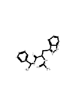 CC(NC(=O)C(Cc1n[nH]c2ccccc12)OC(N)=O)c1ccccc1